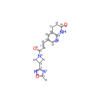 Cc1nc(C2CN(C(=O)/C=C/c3cnc4c(c3)CCC(=O)N4)C2)no1